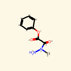 CCN(N)C(=O)C(=O)Oc1ccccc1